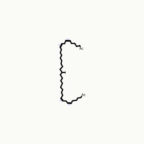 CC(=O)CCCC/C=C\C/C=C\CCCCCCCCC(I)CCCCCCCC/C=C\C/C=C\CCCCC(C)=O